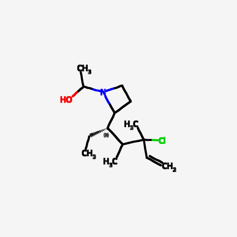 C=CC(C)(Cl)C(C)[C@H](CC)C1CCN1C(C)O